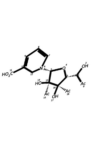 CC(=O)C(O)[C@H]1O[C@@H](N2C=CC=C(C(=O)O)C2)[C@@](O)(C(C)=O)[C@@]1(O)C(C)=O